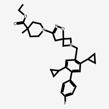 CCOC(=O)C1(C)CCN(C2=NOC3(C2)CN(Cc2cc(C4CC4)c(-c4ccc(F)cc4)cc2C2CC2)C3)CC1